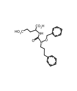 O=C(O)CCC(NC(=O)N(CCCc1ccccc1)OCc1ccccc1)C(=O)O